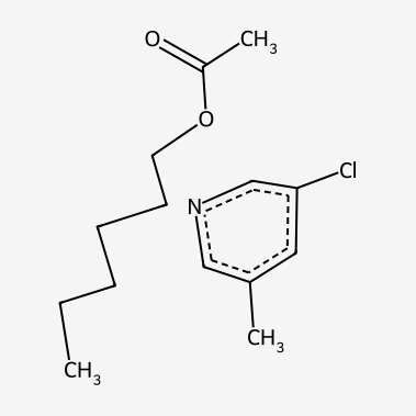 CCCCCCOC(C)=O.Cc1cncc(Cl)c1